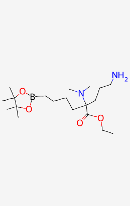 CCOC(=O)C(CCCN)(CCCCB1OC(C)(C)C(C)(C)O1)N(C)C